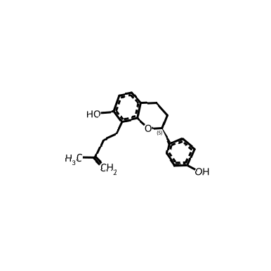 C=C(C)CCc1c(O)ccc2c1O[C@H](c1ccc(O)cc1)CC2